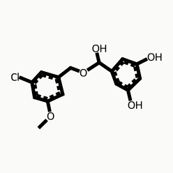 COc1cc(Cl)cc(COC(O)c2cc(O)cc(O)c2)c1